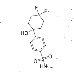 CNS(=O)(=O)c1ccc(C2(O)CCC(F)(F)CC2)cc1